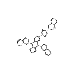 C1#Cc2ccc(-c3c4ccccc4c(-c4ccc5ccccc5c4)c4cc(-c5ccc(C6=CC7C=CC=CC7N=C6)nc5)ccc34)cc2CC1